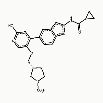 N#Cc1cc(-c2ccn3nc(NC(=O)C4CC4)cc3c2)c(OC[C@@H]2CCN(C(=O)O)C2)cn1